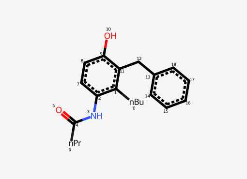 CCCCc1c(NC(=O)CCC)ccc(O)c1Cc1ccccc1